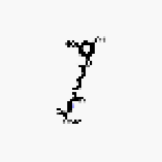 COC(=O)/C=C/C(=O)OCCCC(=O)Oc1cc(O)cc(O)c1